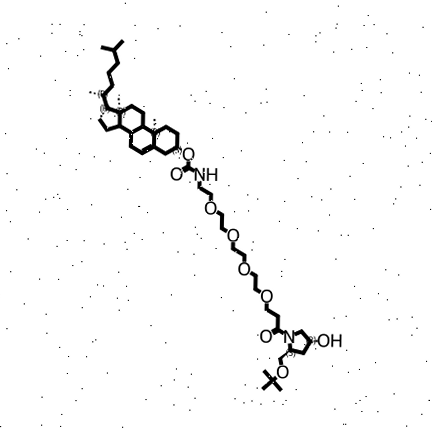 CC(C)CCC[C@@H](C)[C@H]1CCC2C3CC=C4C[C@@H](OC(=O)NCCOCCOCCOCCOCCC(=O)N5C[C@H](O)C[C@H]5COC(C)(C)C)CC[C@]4(C)C3CC[C@@]21C